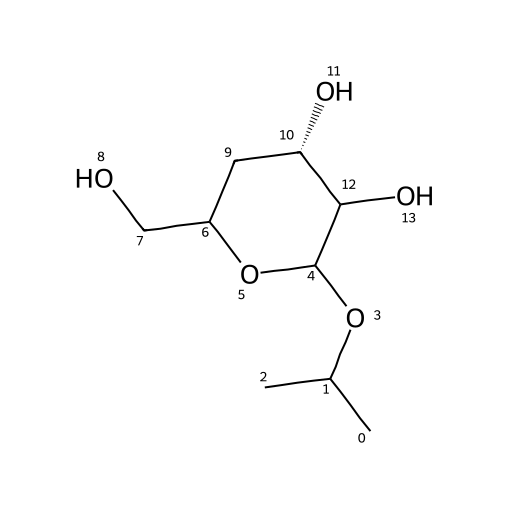 CC(C)OC1OC(CO)C[C@H](O)C1O